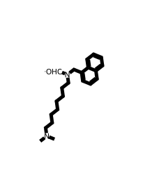 CN(C)CCCCCCCCN([C]=O)Cc1cccc2ccccc12